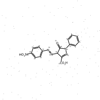 O=C(O)C1=NN(c2ccccc2)C(=O)C1N=Nc1ccc(S(=O)(=O)O)cc1